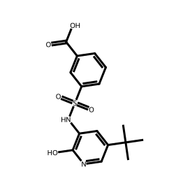 CC(C)(C)c1cnc(O)c(NS(=O)(=O)c2cccc(C(=O)O)c2)c1